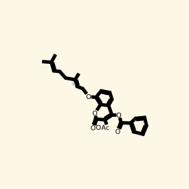 CC(=O)Oc1c(OC(=O)c2ccccc2)c2cccc(OC/C=C(\C)CCC=C(C)C)c2oc1=O